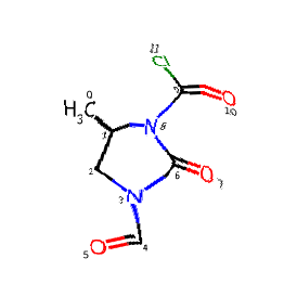 CC1CN(C=O)C(=O)N1C(=O)Cl